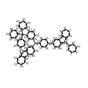 c1ccc(-n2c3ccccc3c3cc(-c4ccc(C(c5ccc6c(c5)C(c5ccccc5)(c5ccccc5)c5ccccc5-6)c5ccc6c(c5)oc5ccccc56)cc4)ccc32)cc1